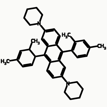 CC1=CC(C)C(c2c3ccc(N4CCCCC4)cc3c(-c3ccc(C)cc3C)c3ccc(N4CCCCC4)cc23)C=C1